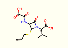 C=CCSC1C(NC(=O)C(=O)O)C(=O)N1C(C(=O)O)=C(C)C